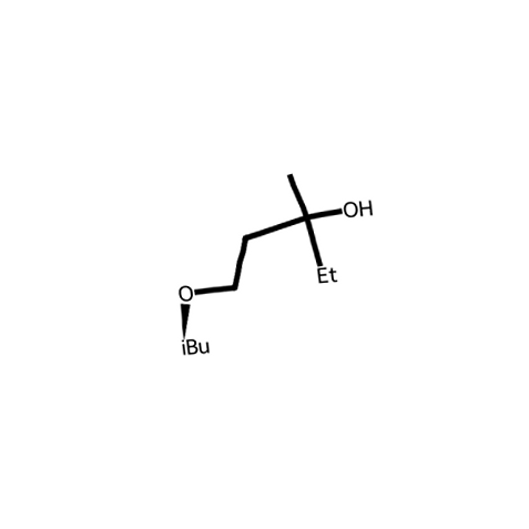 CC[C@H](C)OCCC(C)(O)CC